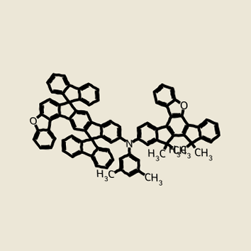 Cc1cc(C)cc(N(c2ccc3c(c2)C(C)(C)c2c4c(c5oc6ccccc6c5c2-3)-c2ccccc2C4(C)C)c2ccc3c(c2)C2(c4ccccc4-c4ccccc42)c2cc4c(cc2-3)C2(c3ccccc3-c3ccccc32)c2ccc3oc5ccccc5c3c2-4)c1